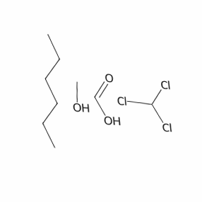 CCCCCC.CO.ClC(Cl)Cl.O=CO